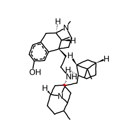 CC1CC[C@@H]2C[C@H](NCC[C@@]34CCN(C)[C@H](Cc5ccc(O)cc53)[C@@H]4C)CC1N2CC[C@@H]1CC[C@H]2C[C@@H]1C2(C)C